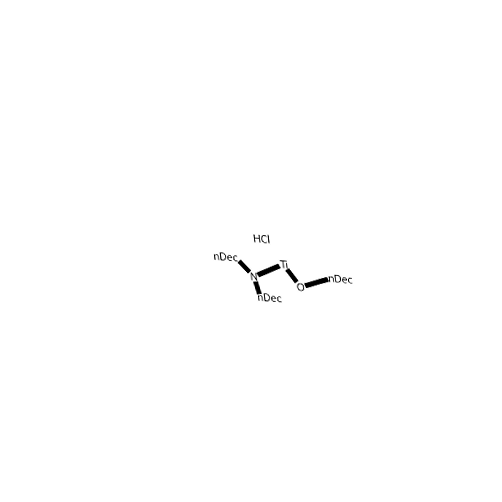 CCCCCCCCCC[O][Ti][N](CCCCCCCCCC)CCCCCCCCCC.Cl